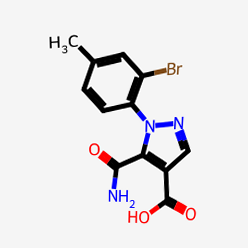 Cc1ccc(-n2ncc(C(=O)O)c2C(N)=O)c(Br)c1